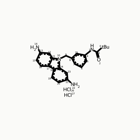 CC(C)(C)C(=O)Nc1cccc(Cn2c3cc(N)ccc3c3ccc(N)cc32)c1.Cl.Cl